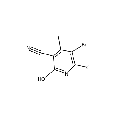 Cc1c(Br)c(Cl)nc(O)c1C#N